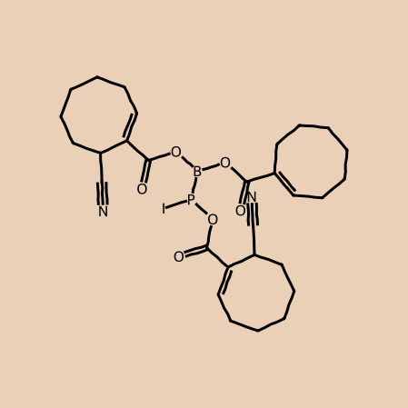 N#CC1CCCCC/C=C\1C(=O)OB(OC(=O)/C1=C/CCCCCC1)P(I)OC(=O)/C1=C/CCCCCC1C#N